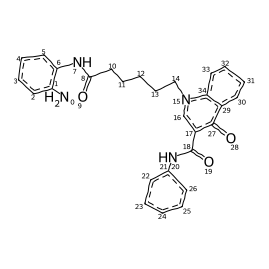 Nc1ccccc1NC(=O)CCCCCn1cc(C(=O)Nc2ccccc2)c(=O)c2ccccc21